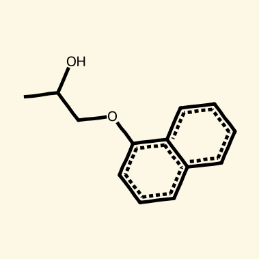 CC(O)COc1cccc2ccccc12